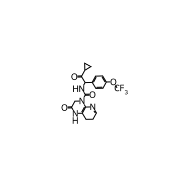 O=C1CN(C(=O)NC(C(=O)C2CC2)c2ccc(OC(F)(F)F)cc2)C2=C(CCC=N2)N1